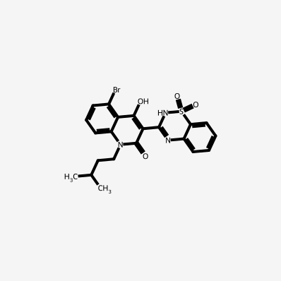 CC(C)CCn1c(=O)c(C2=Nc3ccccc3S(=O)(=O)N2)c(O)c2c(Br)cccc21